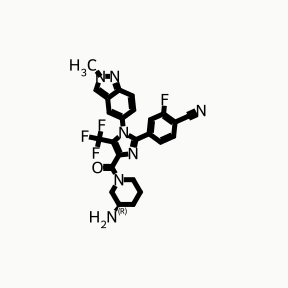 Cn1cc2cc(-n3c(-c4ccc(C#N)c(F)c4)nc(C(=O)N4CCC[C@@H](N)C4)c3C(F)(F)F)ccc2n1